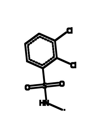 [CH2]NS(=O)(=O)c1cccc(Cl)c1Cl